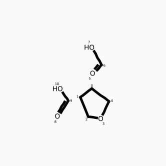 C1CCOC1.O=CO.O=CO